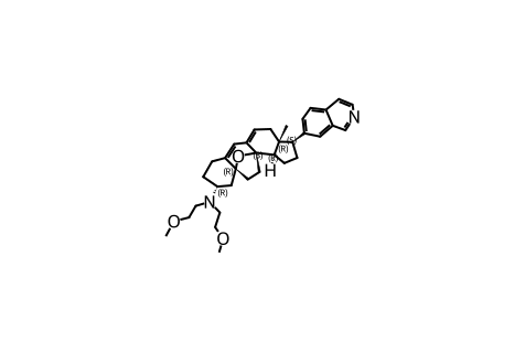 COCCN(CCOC)[C@@H]1CCC2=CC3=CC[C@]4(C)[C@@H](c5ccc6ccncc6c5)CC[C@H]4[C@@]34CC[C@]2(C1)O4